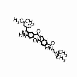 CC(C)CC(=O)c1n[nH]c2cc(O)c(C(=O)N3Cc4ccc(C(=O)NCCN(C)C)cc4C3)cc12